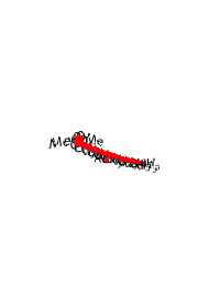 CC(C)=O.COC1=C(OC)C(=O)C(C/C=C(\C)CC/C=C(\C)CC/C=C(\C)CC/C=C(\C)CC/C=C(\C)CC/C=C(\C)CC/C=C(\C)CC/C=C(\C)CC/C=C(\C)CCC=C(C)C)=C(C)C1=O